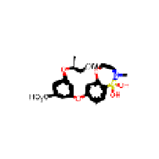 COC[C@H](C)Oc1cc(Oc2ccc3c(c2)OCCN(C)S3(O)O)cc(C(=O)O)c1